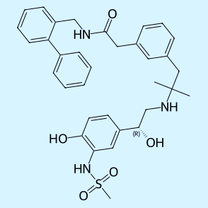 CC(C)(Cc1cccc(CC(=O)NCc2ccccc2-c2ccccc2)c1)NC[C@H](O)c1ccc(O)c(NS(C)(=O)=O)c1